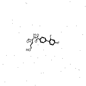 CC[C@H](CCCO)NS(=O)(=O)c1ccc(-c2ccc(F)cc2F)cc1